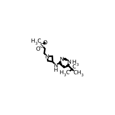 CC(C)(C)c1cc(NC2CN(CCS(C)(=O)=O)C2)ncn1